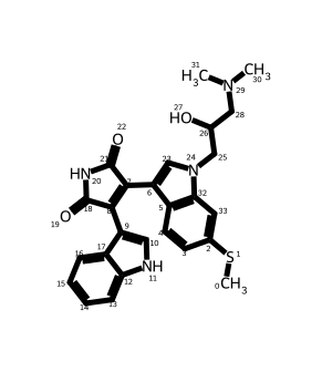 CSc1ccc2c(C3=C(c4c[nH]c5ccccc45)C(=O)NC3=O)cn(CC(O)CN(C)C)c2c1